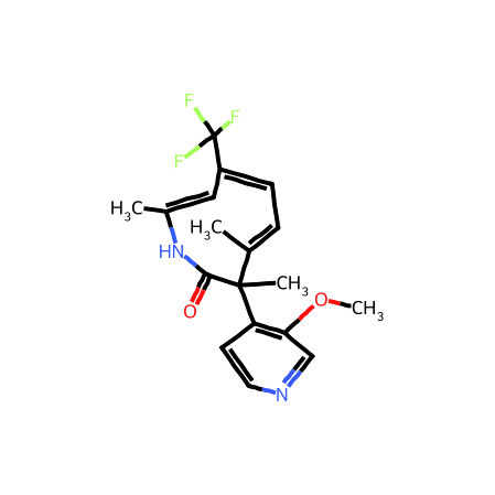 COc1cnccc1C1(C)C(=O)N/C(C)=C/C(C(F)(F)F)=C\C=C\1C